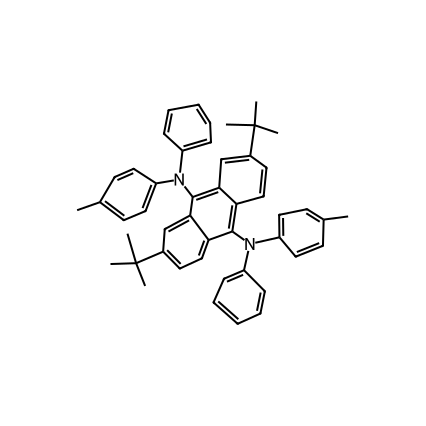 Cc1ccc(N(c2ccccc2)c2c3ccc(C(C)(C)C)cc3c(N(c3ccccc3)c3ccc(C)cc3)c3cc(C(C)(C)C)ccc23)cc1